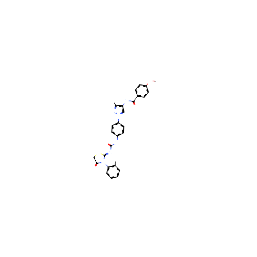 Cc1nn(-c2ccc(NC(=O)/N=C3\SCC(=O)N3c3ccccc3C(C)C)cc2)cc1NC(=O)c1ccc(OC(F)(F)F)cc1